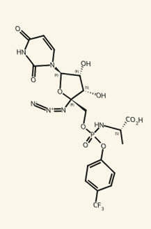 C[C@H](NP(=O)(OC[C@@]1(N=[N+]=[N-])O[C@@H](n2ccc(=O)[nH]c2=O)[C@H](O)[C@@H]1O)Oc1ccc(C(F)(F)F)cc1)C(=O)O